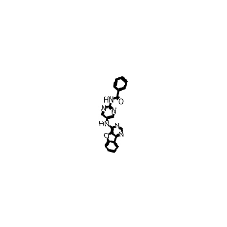 O=C(Nc1ncc(Nc2ncnc3c2oc2ccccc23)cn1)c1ccccc1